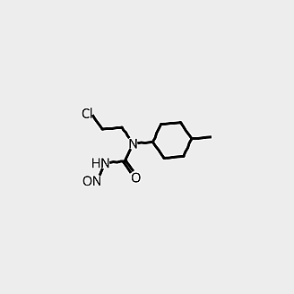 CC1CCC(N(CCCl)C(=O)NN=O)CC1